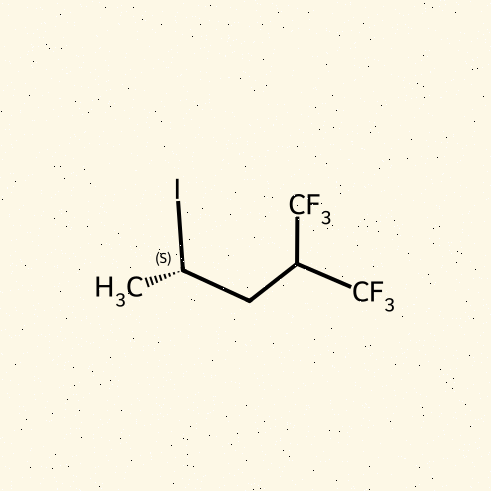 C[C@H](I)CC(C(F)(F)F)C(F)(F)F